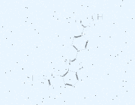 COC(=O)c1ccc(-c2nc3c(OC(C)=O)cccc3s2)cc1